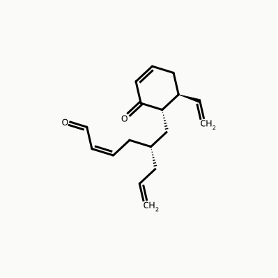 C=CC[C@H](C/C=C\C=O)C[C@@H]1C(=O)C=CC[C@H]1C=C